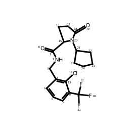 O=C(NCc1cccc(C(F)(F)F)c1Cl)C1CCC(=O)N1C1CCCC1